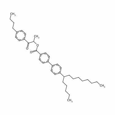 CCCCCCCCC(CCCCC)c1ccc(-c2ccc(C(=O)OC(C)C(=O)c3ccc(CCCC)cc3)cc2)cc1